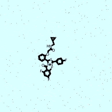 O=C(COc1ccccc1C1SC(c2ccc(F)cc2)=NN1C(=O)c1c(F)cc(F)cc1F)NCC1CC1